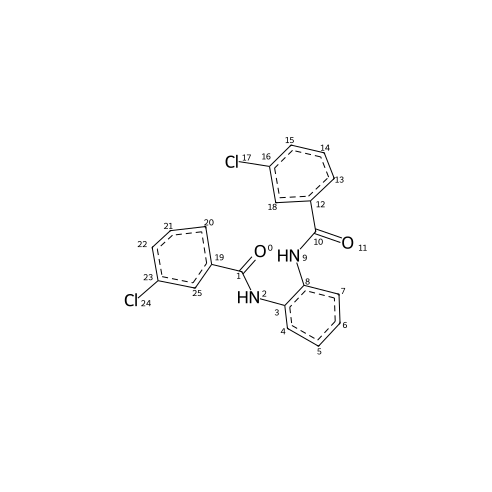 O=C(Nc1ccccc1NC(=O)c1cccc(Cl)c1)c1cccc(Cl)c1